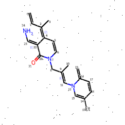 C=C/C(C)=c1/ccn(C/C(C)=C/N2C=C(CC)C=CC2=C)c(=O)/c1=C/N